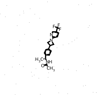 CC(=O)N[C@@H](C)c1ccc(C2CN(c3ccc(C(F)(F)F)cn3)C2)cc1